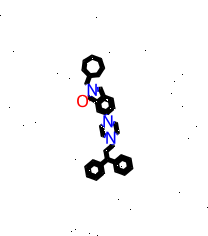 O=C1c2cc(N3CCN(CCC(c4ccccc4)c4ccccc4)CC3)ccc2CN1CC1CCCCCC1